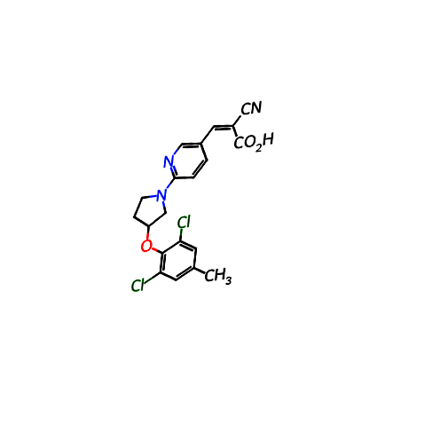 Cc1cc(Cl)c(OC2CCN(c3ccc(C=C(C#N)C(=O)O)cn3)C2)c(Cl)c1